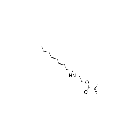 C=C(C)C(=O)OCCNCCC=CC=CCCC